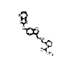 CC(=O)N1CCCC1CNCc1coc2cc(Oc3nc4cccnc4s3)ccc12